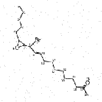 CCCCCC1OC1C(Br)C=CCCCCCCCC(C)=O